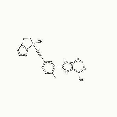 Cc1ccc(C#C[C@]2(O)CCn3ccnc32)cc1-c1nc2c(N)ncnc2s1